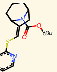 CC(C)(C)OC(=O)N1C2CCCC1C(=CSc1ccccn1)C2